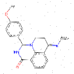 CON=C1CCN2c3c(cccc31)C(=O)NC2c1ccc(OC(C)C)cc1